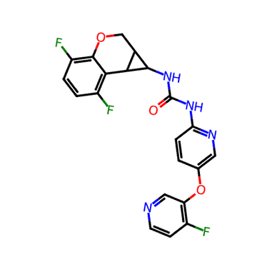 O=C(Nc1ccc(Oc2cnccc2F)cn1)NC1C2COc3c(F)ccc(F)c3C21